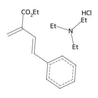 C=C(C=Cc1ccccc1)C(=O)OCC.CCN(CC)CC.Cl